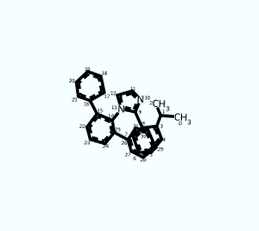 CC(C)c1ccccc1-c1nccn1-c1c(-c2ccccc2)cccc1-c1ccccc1